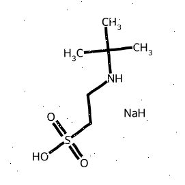 CC(C)(C)NCCS(=O)(=O)O.[NaH]